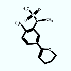 CN(c1cc(C2=CCCCO2)ccc1[N+](=O)[O-])S(C)(=O)=O